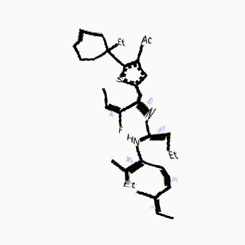 C\C=C(C)/C=C\C(NC(=C\CC)/N=C(\C(F)=C/C)c1cc(C(C)=O)c(C2(CC)CCCCC2)s1)=C(\C)CC